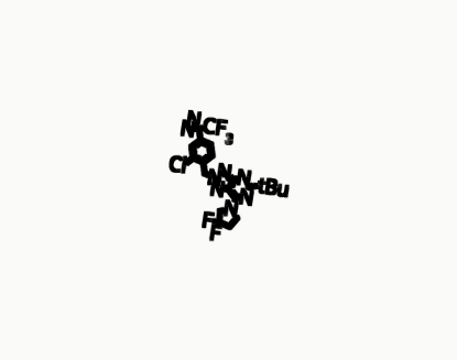 CC(C)(C)c1nc(N2CCC(F)(F)C2)c2nn(Cc3ccc(C4(C(F)(F)F)N=N4)cc3Cl)nc2n1